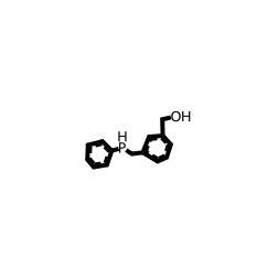 OCc1cccc(CPc2ccccc2)c1